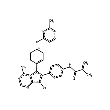 C=C(C)C(=O)Nc1ccc(-c2c(C3=CC[C@@H](Oc4cccc(C)n4)CC3)c3c(N)ncnc3n2C)cc1